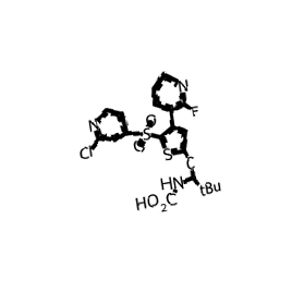 CC(C)(C)C(Cc1cc(-c2cccnc2F)c(S(=O)(=O)c2ccnc(Cl)c2)s1)NC(=O)O